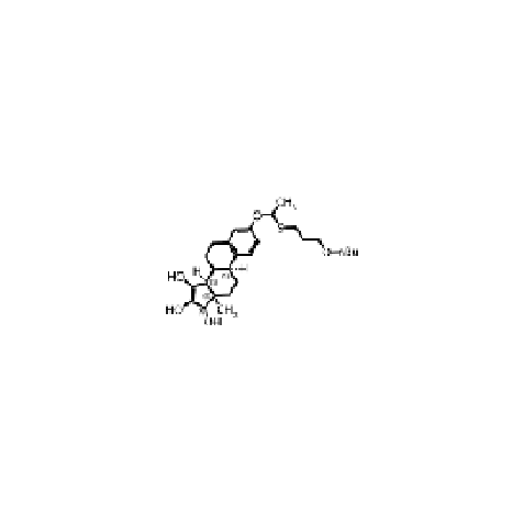 CCCCOCCCSC(C)Oc1ccc2c(c1)CCC1[C@@H]2CC[C@]2(C)[C@@H](O)C(O)=C(O)[C@@H]12